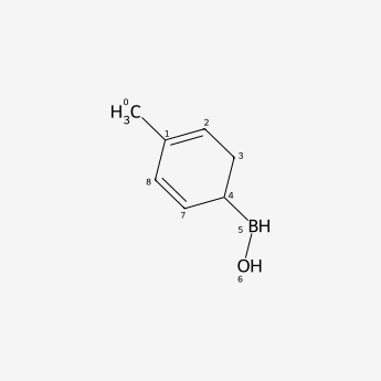 CC1=CCC(BO)C=C1